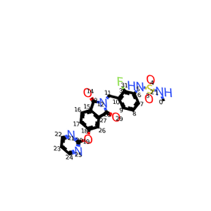 CNS(=O)(=O)Nc1cccc(CN2C(=O)c3ccc(Oc4ncccn4)cc3C2=O)c1F